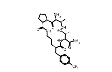 C[C@@H](O)[C@H](N)C(=O)N1CCC[C@H]1C(=O)NCCC[C@H](Cc1ccc(C(F)(F)F)cc1)C(=O)N[C@H](C(N)=O)[C@@H](C)O